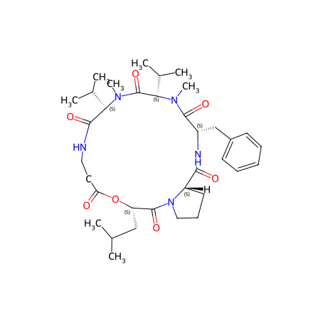 CC(C)C[C@@H]1OC(=O)CCNC(=O)[C@H](C(C)C)N(C)C(=O)[C@H](C(C)C)N(C)C(=O)[C@H](Cc2ccccc2)NC(=O)[C@@H]2CCCN2C1=O